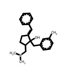 Cc1cccc(CC2(O)C(=Cc3ccccc3)CCC2CN(C)C)c1